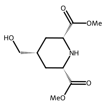 COC(=O)[C@@H]1C[C@H](CO)C[C@H](C(=O)OC)N1